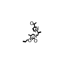 C=CCON1C(=O)N(CC(=C)n2ccc(C(C)=O)n2)CC1C